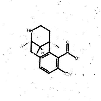 C[C@@H]1[C@H]2Cc3ccc(O)c([N+](=O)[O-])c3[C@]1(C)CCN2